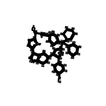 CNC(=O)c1ccc(-c2cnc3ccc(-c4cn(C(c5ccccc5)(c5ccccc5)C5C=CC=CC5)nc4-c4ccc(F)cc4)cn23)s1